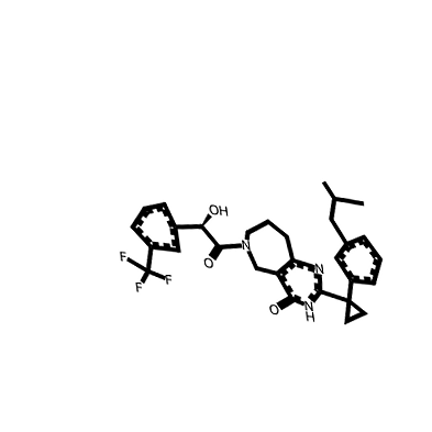 CC(C)Cc1cccc(C2(c3nc4c(c(=O)[nH]3)CN(C(=O)[C@H](O)c3cccc(C(F)(F)F)c3)CCC4)CC2)c1